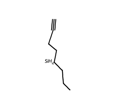 C#CCCCCCC.[SiH4]